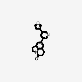 O=C1CCc2cc(-c3cncc(-c4ccoc4)c3)cc3c2N1CC3